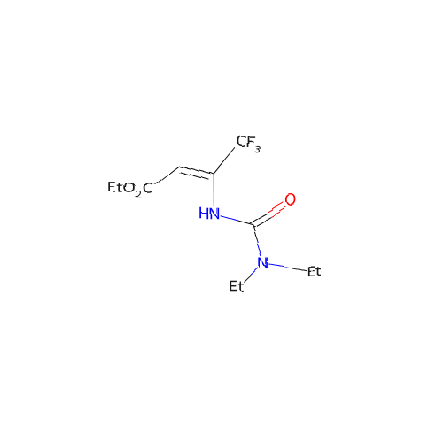 CCOC(=O)C=C(NC(=O)N(CC)CC)C(F)(F)F